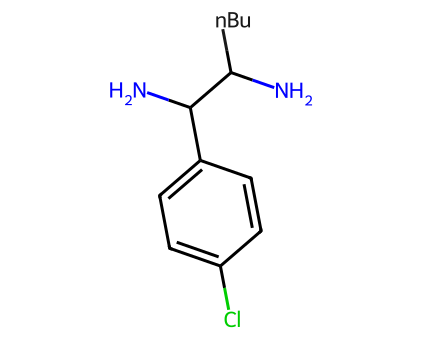 CCCCC(N)C(N)c1ccc(Cl)cc1